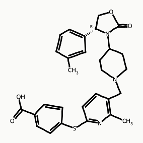 Cc1cccc([C@@H]2COC(=O)N2C2CCN(Cc3ccc(Sc4ccc(C(=O)O)cc4)nc3C)CC2)c1